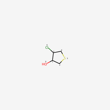 OC1CSCC1Cl